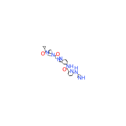 O=C(Nc1ccc2nn(CC(=O)N3CCN(C(=O)C4CC4)CC3)cc2c1)c1cccc(NC2CNC2)n1